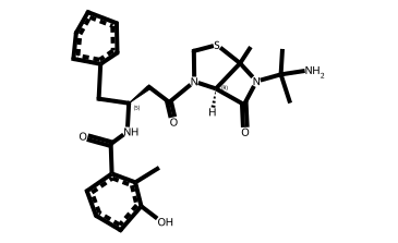 Cc1c(O)cccc1C(=O)N[C@H](CC(=O)N1CSC2(C)[C@H]1C(=O)N2C(C)(C)N)Cc1ccccc1